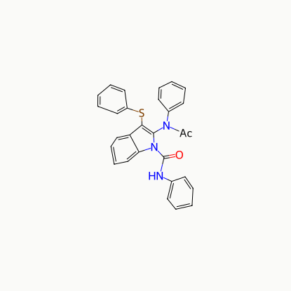 CC(=O)N(c1ccccc1)c1c(Sc2ccccc2)c2ccccc2n1C(=O)Nc1ccccc1